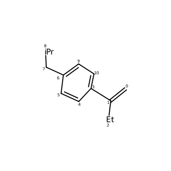 C=C(CC)c1ccc(CC(C)C)cc1